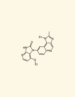 CCOc1ccnc2[nH]c(=O)n(-c3ccc4ncc5nc(C)n(CC)c5c4c3)c12